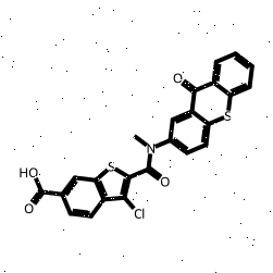 CN(C(=O)c1sc2cc(C(=O)O)ccc2c1Cl)c1ccc2sc3ccccc3c(=O)c2c1